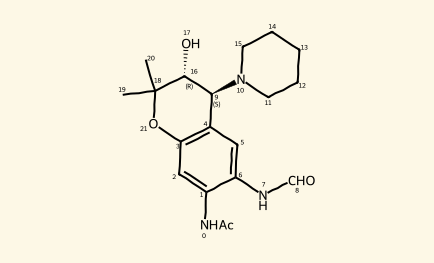 CC(=O)Nc1cc2c(cc1NC=O)[C@H](N1CCCCC1)[C@@H](O)C(C)(C)O2